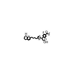 CN(C)C(=O)c1ccc(C(CC(=O)O)c2nc(CCCCc3ccc4c(n3)NCCC4)cs2)cc1F